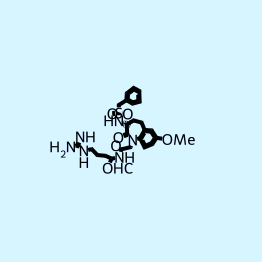 COc1ccc2c(c1)CC[C@@H](NS(=O)(=O)Cc1ccccc1)C(=O)N2CC(=O)NC(C=O)CCCNC(=N)N